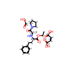 CCOC(=O)[C@@H](CCc1ccccc1)N[C@@H](C)C(=O)N1CCC[C@H]1C(=O)O.O=C(O)/C=C\C(=O)O